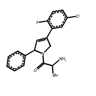 CCC(C)C(N)C(=O)N1CC(c2cc(Cl)ccc2F)=CC1c1ccccc1